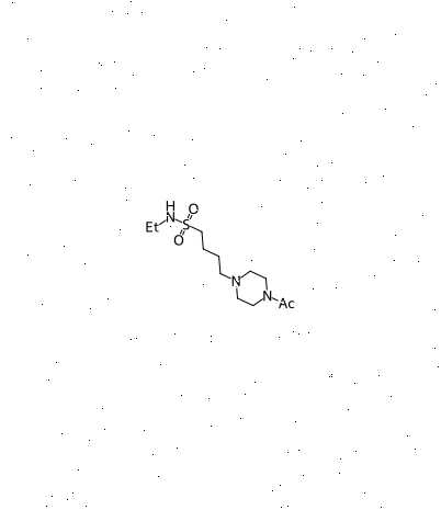 CCNS(=O)(=O)CCCCN1CCN(C(C)=O)CC1